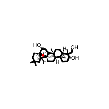 CC1(C)CC[C@]23CO[C@@]4(CC[C@@H]5[C@@]6(C)CC[C@H](O)[C@@](C)(CO)[C@@H]6CC[C@@]5(C)[C@]4(C)C[C@H]2O)[C@@H]3C1